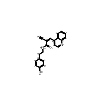 N#CC(=Cc1ccnc2ccccc12)C(=O)NCCc1ccc(O)cc1